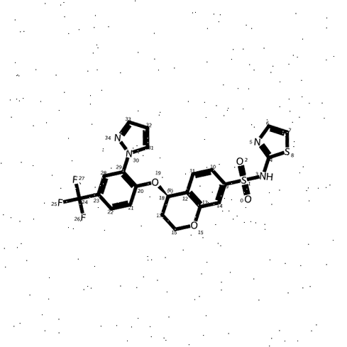 O=S(=O)(Nc1nccs1)c1ccc2c(c1)OCC[C@H]2Oc1ccc(C(F)(F)F)cc1-n1cccn1